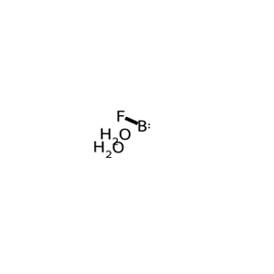 O.O.[B]F